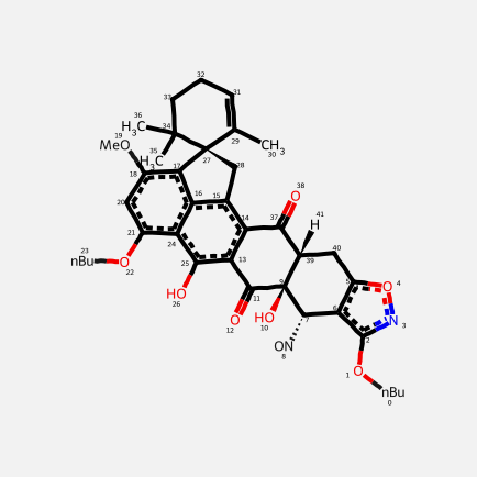 CCCCOc1noc2c1[C@H](N=O)[C@]1(O)C(=O)c3c(c4c5c(c(OC)cc(OCCCC)c5c3O)[C@@]3(C4)C(C)=CCCC3(C)C)C(=O)[C@@H]1C2